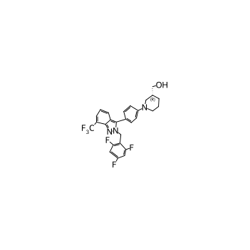 OC[C@@H]1CCCN(c2ccc(-c3c4cccc(C(F)(F)F)c4nn3Cc3c(F)cc(F)cc3F)cc2)C1